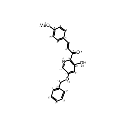 COc1ccc(C=CC(=O)c2ncc(OCc3ccccc3)cc2O)cc1